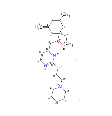 C=C1CC(C)CC(CC)(C(=O)Cc2ccnc(CCCN3CCCCC3)n2)C1